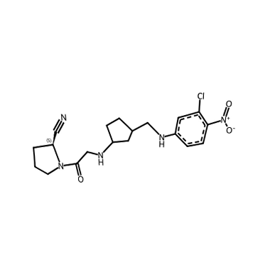 N#C[C@@H]1CCCN1C(=O)CNC1CCC(CNc2ccc([N+](=O)[O-])c(Cl)c2)C1